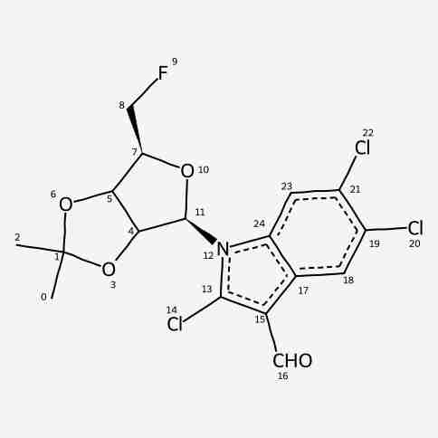 CC1(C)OC2C(O1)[C@@H](CF)O[C@H]2n1c(Cl)c(C=O)c2cc(Cl)c(Cl)cc21